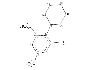 Cc1cc(C(=O)O)cc(C(=O)O)c1C1CCCCC1